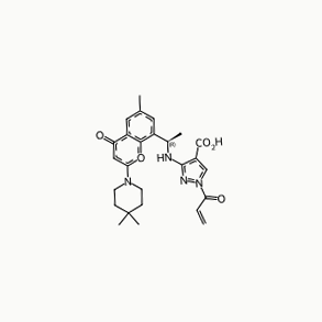 C=CC(=O)n1cc(C(=O)O)c(N[C@H](C)c2cc(C)cc3c(=O)cc(N4CCC(C)(C)CC4)oc23)n1